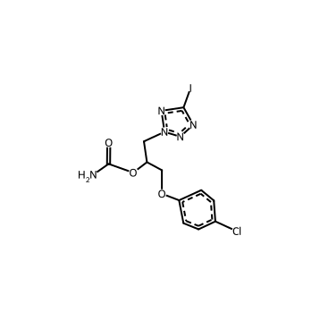 NC(=O)OC(COc1ccc(Cl)cc1)Cn1nnc(I)n1